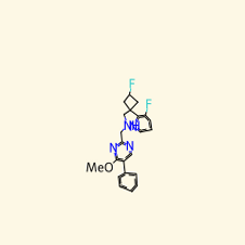 COc1nc(CNCC2(c3ncccc3F)CC(F)C2)ncc1-c1ccccc1